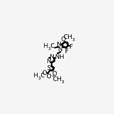 CCOc1cc(-c2cc(NCCn3c(CC)nc4c(OC)cc(F)c(F)c43)ncn2)sc1C(=O)OC